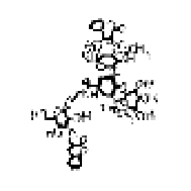 CC(=O)NC1CC(C(=O)NCCO[C@H]2OC(CO)[C@@H](O)C(OCc3cc4ccccc4oc3=O)C2O)C[C@@H](O[C@@H]2OC(CO)[C@H](O)C(O[C@@H](CC3CCCCC3)C(=O)O)C2NC(C)=O)C1O[C@@H]1OC(C)[C@@H](O)C(O)C1O